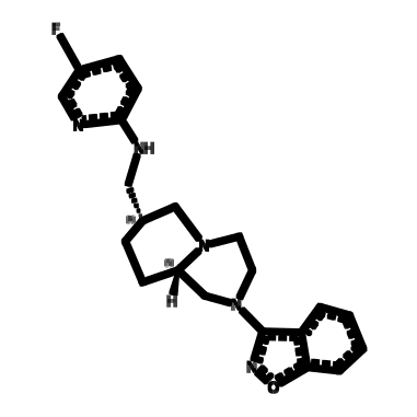 Fc1ccc(NC[C@H]2CC[C@H]3CN(c4noc5ccccc45)CCN3C2)nc1